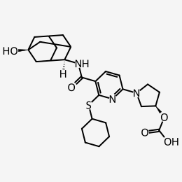 O=C(O)O[C@@H]1CCN(c2ccc(C(=O)N[C@H]3C4CC5CC3C[C@@](O)(C5)C4)c(SC3CCCCC3)n2)C1